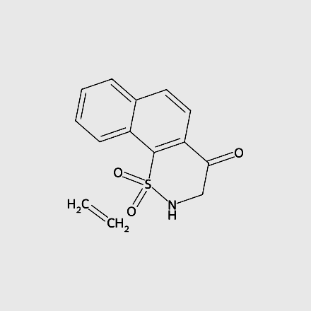 C=C.O=C1CNS(=O)(=O)c2c1ccc1ccccc21